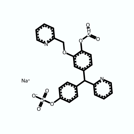 O=[SH](=O)Oc1ccc(C(c2ccc(OS(=O)(=O)[O-])cc2)c2ccccn2)cc1OCc1ccccn1.[Na+]